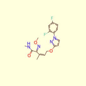 CNC(=O)C(=NOC)C(C)=CCOc1ccn(-c2ccc(F)cc2F)n1